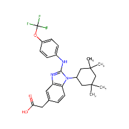 CC1(C)CC(n2c(Nc3ccc(OC(F)(F)F)cc3)nc3cc(CC(=O)O)ccc32)CC(C)(C)C1